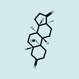 C[C@]12CC[C@H]3[C@@H](CC[C@H]4CC(=O)CC[C@@]43C=O)[C@@H]1CCC2=O